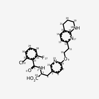 O=C(N[C@@H](Cc1ccc(OCCc2ccc3c(n2)NCCC3)nc1)C(=O)O)c1c(F)cccc1Cl